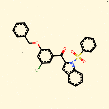 O=C(c1cc(Cl)cc(OCc2ccccc2)c1)c1cc2ccccc2n1S(=O)(=O)c1ccccc1